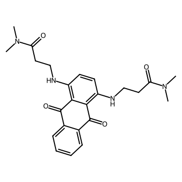 CN(C)C(=O)CCNc1ccc(NCCC(=O)N(C)C)c2c1C(=O)c1ccccc1C2=O